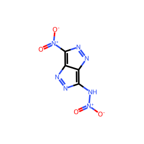 O=[N+]([O-])NC1=C2N=NC([N+](=O)[O-])=C2N=N1